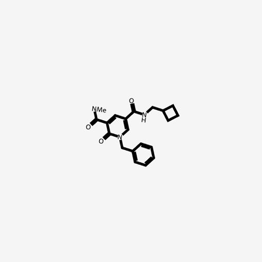 CNC(=O)c1cc(C(=O)NCC2CCC2)cn(Cc2ccccc2)c1=O